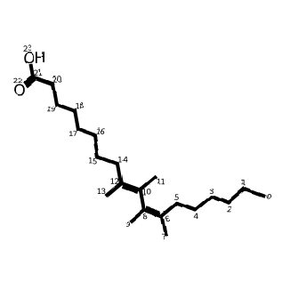 CCCCCC/C(C)=C(C)\C(C)=C(/C)CCCCCCCC(=O)O